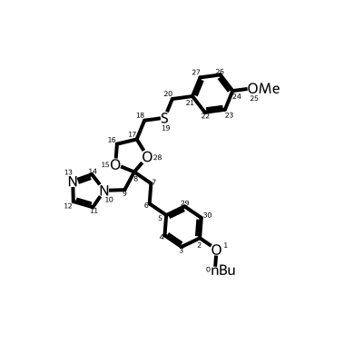 CCCCOc1ccc(CCC2(Cn3ccnc3)OCC(CSCc3ccc(OC)cc3)O2)cc1